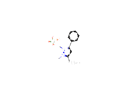 CCCCCCc1cc(-c2ccccc2)[n+](C)n1C.[O-][Cl+3]([O-])([O-])[O-]